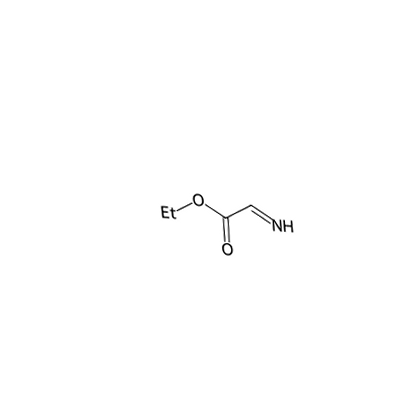 CCOC(=O)C=N